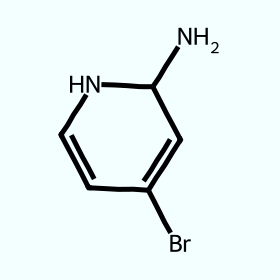 NC1C=C(Br)C=CN1